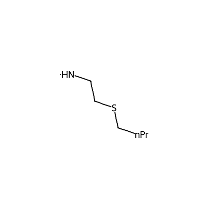 CCCCSCC[NH]